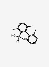 Cc1ccccc1-c1c(C)ccc(C)c1P(=O)(O)O